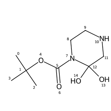 CC(C)(C)OC(=O)N1CCNCC1(O)O